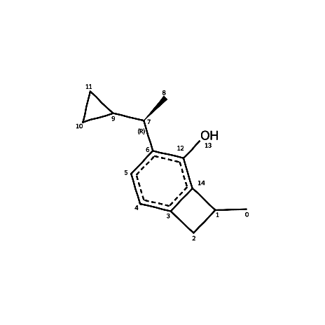 CC1Cc2ccc([C@H](C)C3CC3)c(O)c21